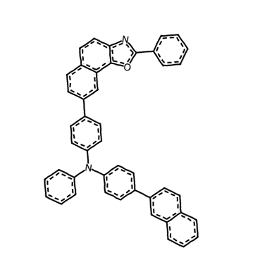 c1ccc(-c2nc3ccc4ccc(-c5ccc(N(c6ccccc6)c6ccc(-c7ccc8ccccc8c7)cc6)cc5)cc4c3o2)cc1